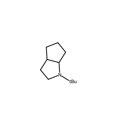 CC(C)(C)N1CCC2CCCC21